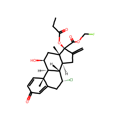 C=C1C[C@H]2[C@H]3[C@H]([C@@H](O)C[C@]2(C)[C@]1(OC(=O)CC)C(=O)OCF)[C@@]1(C)C=CC(=O)C=C1C[C@H]3Cl